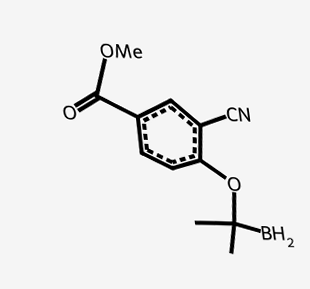 BC(C)(C)Oc1ccc(C(=O)OC)cc1C#N